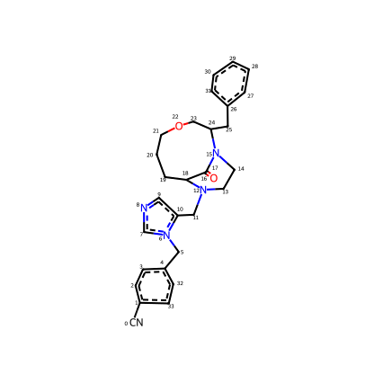 N#Cc1ccc(Cn2cncc2CN2CCN3C(=O)C2CCCOCC3Cc2ccccc2)cc1